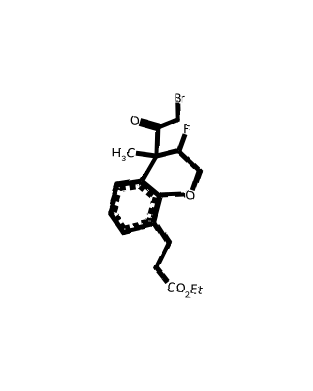 CCOC(=O)CCc1cccc2c1OCC(F)C2(C)C(=O)CBr